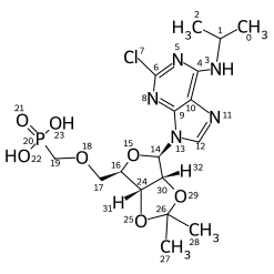 CC(C)Nc1nc(Cl)nc2c1ncn2[C@@H]1O[C@H](COCP(=O)(O)O)[C@H]2OC(C)(C)O[C@H]21